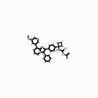 C=C(C)OC(=O)NC1(c2ccc(-c3nc4c(-c5cncc(OC)c5)cccn4c3-c3ccccc3)cc2)CCC1